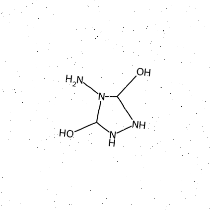 NN1C(O)NNC1O